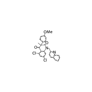 COc1ccc(C2(C)C(=O)c3c(Cl)cc(Cl)cc3N(Cc3ccc4ccccc4n3)C2=O)cc1